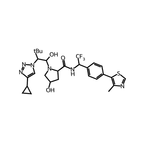 Cc1ncsc1-c1ccc(C(NC(=O)C2CC(O)CN2C(O)C(n2cc(C3CC3)nn2)C(C)(C)C)C(F)(F)F)cc1